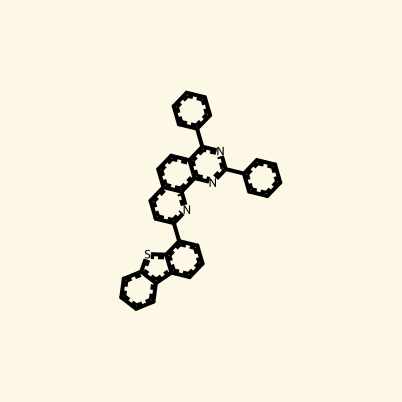 c1ccc(-c2nc(-c3ccccc3)c3ccc4ccc(-c5cccc6c5sc5ccccc56)nc4c3n2)cc1